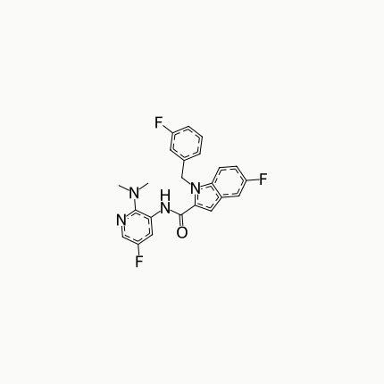 CN(C)c1ncc(F)cc1NC(=O)c1cc2cc(F)ccc2n1Cc1cccc(F)c1